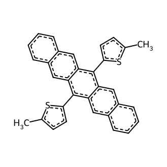 Cc1ccc(-c2c3cc4ccccc4cc3c(-c3ccc(C)s3)c3cc4ccccc4cc23)s1